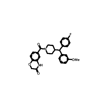 COc1cccc(C(c2ccc(F)cc2)C2CCN(C(=O)c3ccc4c(c3)NC(=O)CO4)CC2)c1